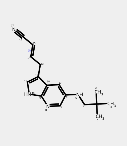 CC(C)(C)CNc1cnc2[nH]cc(C/C=C/C#N)c2c1